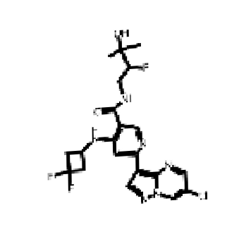 CC(C)(O)C(F)CNC(=O)c1cnc(-c2cnn3cc(Cl)cnc23)cc1NC1CC(F)(F)C1